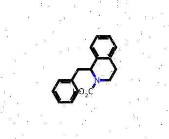 O=C(O)N1CCc2ccccc2C1Cc1ccccc1